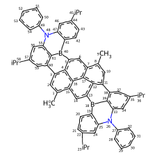 Cc1cc2c3c(cc4c(C)cc5c6c(cc1c3c46)B1c3ccc(C(C)C)cc3N(c3ccccc3)c3cc(C(C)C)cc-5c31)B1c3ccc(C(C)C)cc3N(c3ccccc3)c3cc(C(C)C)cc-2c31